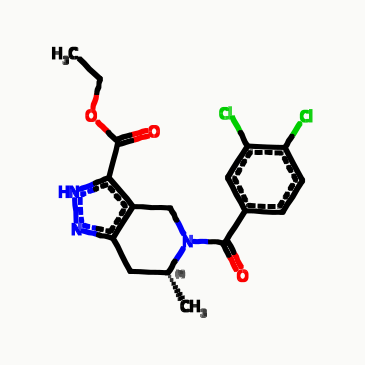 CCOC(=O)c1[nH]nc2c1CN(C(=O)c1ccc(Cl)c(Cl)c1)[C@H](C)C2